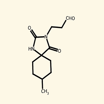 CC1CCC2(CC1)NC(=O)N(CCC=O)C2=O